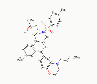 COCCCN1CCOc2ccc(COC3CN(S(=O)(=O)c4ccc(C)cc4)[C@@H](CC(=O)OC)CC3c3ccc(OC)cc3)cc21